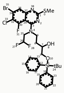 CSc1nc(N(CCC(O)CO[Si](c2ccccc2)(c2ccccc2)C(C)(C)C)CC(F)F)c2c(F)c(Cl)c(Br)cc2n1